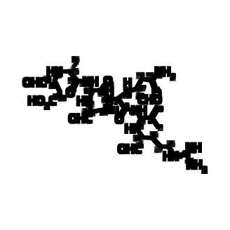 C=C(C)[C@@H](NC(=O)[C@@H](NC(=O)[C@@H](NC(=O)[C@@H](C)N[C@@H](C=O)CC(=O)O)N[C@@H](C=O)[C@H](C)CC)N[C@@H](C=O)CC(N)=O)N[C@@H](C=O)CCCNC(=N)N